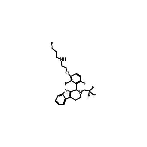 FCCCNCCOc1ccc(F)c(C2c3[nH]c4ccccc4c3CCN2CC(F)(F)F)c1F